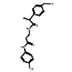 CC(C)Cc1ccc(C(C)C(=O)NCCC(=O)Nc2ccc(O)cc2)cc1